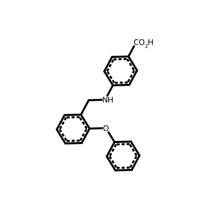 O=C(O)c1ccc(NCc2ccccc2Oc2ccccc2)cc1